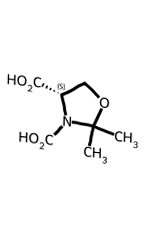 CC1(C)OC[C@@H](C(=O)O)N1C(=O)O